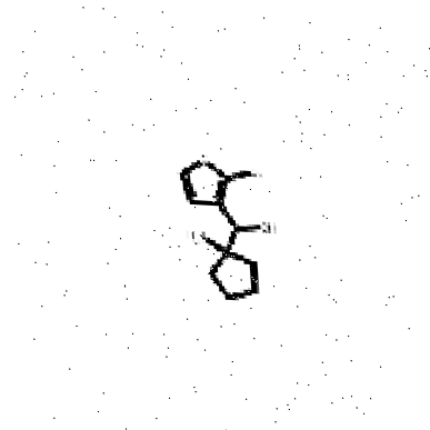 CCc1sccc1C(O)C1(N)CCCC1